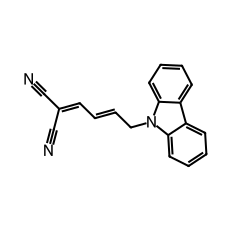 N#CC(C#N)=CC=CCn1c2ccccc2c2ccccc21